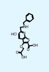 Cl.O=C(O)COc1c(C(=O)O)sc2nc(CNCc3ccccc3)ccc12